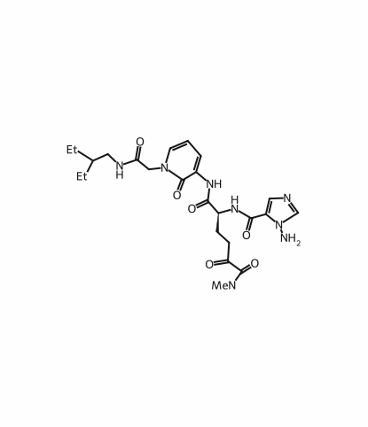 CCC(CC)CNC(=O)Cn1cccc(NC(=O)[C@H](CCC(=O)C(=O)NC)NC(=O)c2cncn2N)c1=O